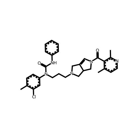 Cc1ccc(N(CCCN2CC3=CN(C(=O)c4c(C)ccnc4C)CC3C2)C(=O)Nc2ccccc2)cc1Cl